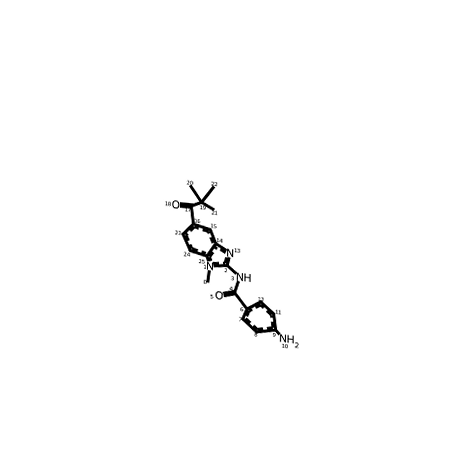 Cn1c(NC(=O)c2ccc(N)cc2)nc2cc(C(=O)C(C)(C)C)ccc21